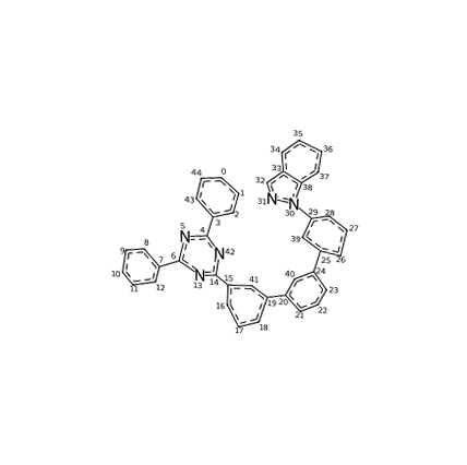 c1ccc(-c2nc(-c3ccccc3)nc(-c3cccc(-c4cccc(-c5cccc(-n6ncc7ccccc76)c5)c4)c3)n2)cc1